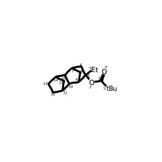 CCC1(OC(=O)C(C)(C)C)CC2CC1C1C3CCC(C3)C21